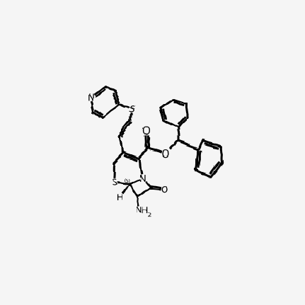 NC1C(=O)N2C(C(=O)OC(c3ccccc3)c3ccccc3)=C(C=CSc3ccncc3)CS[C@@H]12